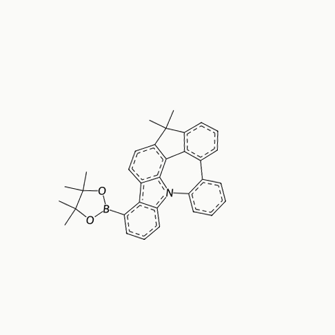 CC1(C)c2cccc3c2-c2c1ccc1c4c(B5OC(C)(C)C(C)(C)O5)cccc4n(c21)-c1ccccc1-3